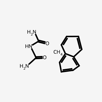 C.NC(=O)NC(N)=O.c1ccc2ccccc2c1